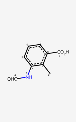 Cc1c(NC=O)cccc1C(=O)O